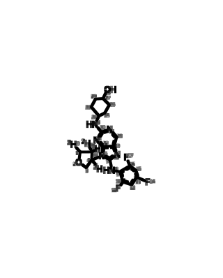 [2H]C1OCC([2H])(n2c(Nc3c(F)cc(F)cc3F)nc3cnc(NC4CCC(O)CC4)nc32)C1([2H])[2H]